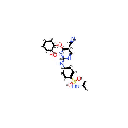 CC(C)NS(=O)(=O)c1ccc(Nc2ncc(C#N)c(O[C@@H]3CCCC[C@@H]3O)n2)cc1